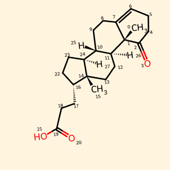 C[C@]12C(=O)CCC=C1CC[C@@H]1[C@@H]2CC[C@]2(C)[C@H](CCC(=O)O)CC[C@@H]12